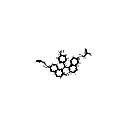 C#CCOc1ccc2c3c(ccc2c1)Oc1ccc2cc(OCC(=C)C)ccc2c1C3c1ccc(O)cc1